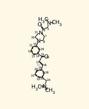 CN(C)CC(=O)N1CCN(c2cccc(C(=O)/C=C/c3cccc(CN(C)C)c3)c2)CC1